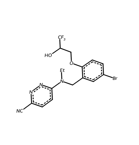 CCN(Cc1cc(Br)ccc1OCC(O)C(F)(F)F)c1ccc(C#N)nn1